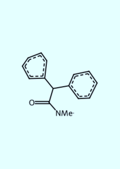 C[N]C(=O)C(c1ccccc1)c1ccccc1